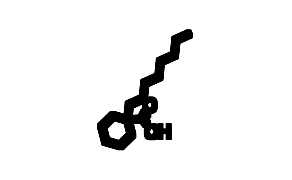 CCCCCCCCC1(C(=O)O)CCCCC1